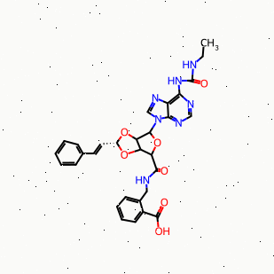 CCNC(=O)Nc1ncnc2c1ncn2C1OC(C(=O)NCc2ccccc2C(=O)O)C2O[C@H](/C=C/c3ccccc3)OC21